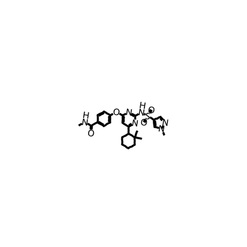 CNC(=O)c1ccc(Oc2cc(C3CCCCC3(C)C)nc(NS(=O)(=O)c3cnn(C)c3)n2)cc1